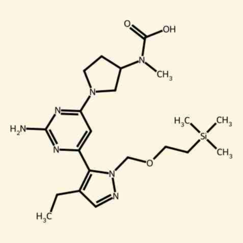 CCc1cnn(COCC[Si](C)(C)C)c1-c1cc(N2CCC(N(C)C(=O)O)C2)nc(N)n1